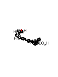 O=C(O)NC(C(=O)N1CCCC1c1nc(-c2ccc(CCc3ccc(-c4c[nH]c([C@@H]5CCCN5C(=O)[C@H](NC(=O)O)c5ccccc5)n4)cc3)cc2)c[nH]1)c1ccccc1